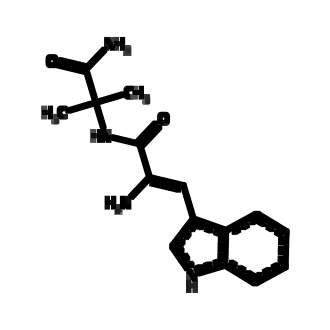 CC(C)(NC(=O)C(N)=Cc1c[nH]c2ccccc12)C(N)=O